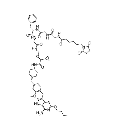 CCCCOc1nc(N)c2[nH]nc(Cc3ccc(CN4CCC(NC(=O)[C@@H](OCNC(=O)CNC(=O)[C@H](Cc5ccccc5)NC(=O)CNC(=O)CNC(=O)CCCCCN5C(=O)C=CC5=O)C5CC5)CC4)cc3OC)c2n1